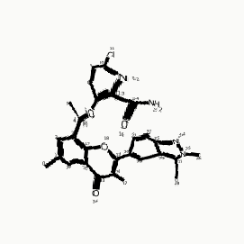 Cc1cc([C@@H](C)Oc2ccc(Cl)nc2C(N)=O)c2oc(-c3ccc4nn(C)c(C)c4c3)c(C)c(=O)c2c1